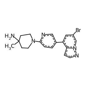 CC1(N)CCN(c2ccc(-c3cc(Br)cn4nccc34)cn2)CC1